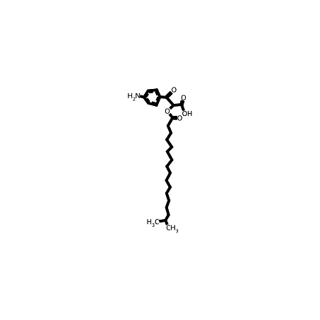 CC(C)CCCCCCCCCCCCCCC(=O)OC(C(=O)O)C(=O)c1ccc(N)cc1